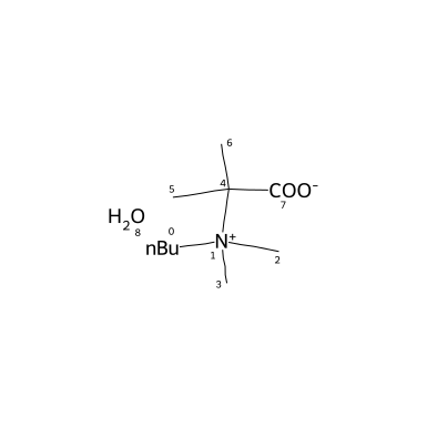 CCCC[N+](C)(C)C(C)(C)C(=O)[O-].O